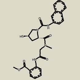 COC(=O)c1ccccc1NC(=O)CN(C)C(=O)[C@@H]1C[C@@H](S)CN1C(=O)Nc1ccc2ccccc2c1